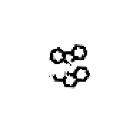 C=Cc1ccc2ccccc2n1.c1ccc2c(c1)[nH]c1ccccc12